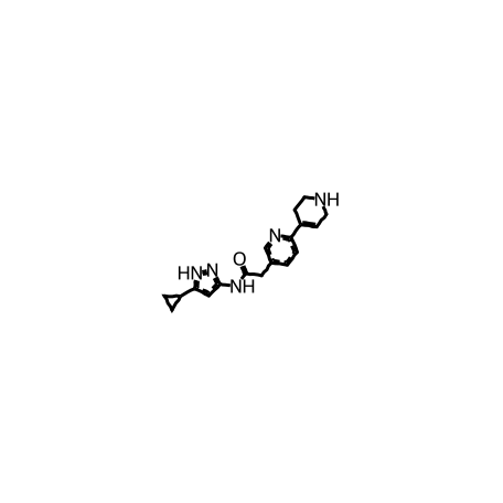 O=C(Cc1ccc(C2=CCNCC2)nc1)Nc1cc(C2CC2)[nH]n1